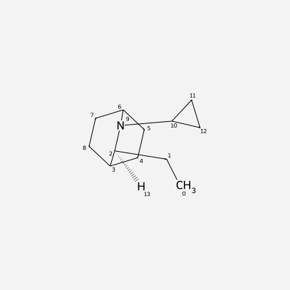 CC[C@H]1C2CCC(CC2)N1C1CC1